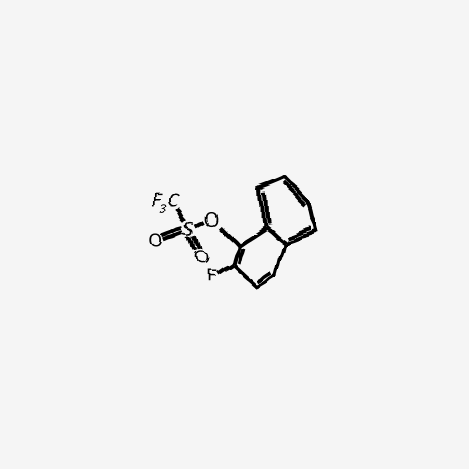 O=S(=O)(Oc1c(F)ccc2ccccc12)C(F)(F)F